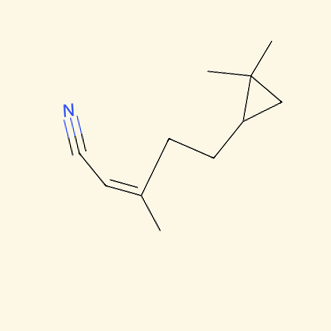 C/C(=C/C#N)CCC1CC1(C)C